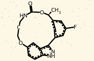 C[C@@H]1OC(=O)NCCCOc2ccc3[nH]nc(c3c2)-c2cc(F)cc1c2